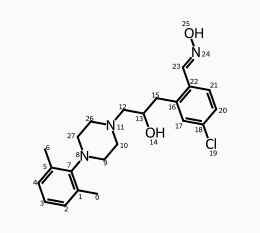 Cc1cccc(C)c1N1CCN(CC(O)Cc2cc(Cl)ccc2C=NO)CC1